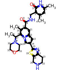 Cc1cc(C)c(CNC(=O)c2cc3cc(-c4nc5c(s4)CNCC5)cn3c(C(C)N3CCOCC3)c2C)c(=O)[nH]1